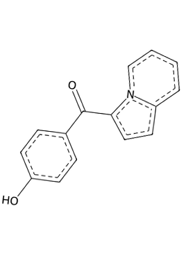 O=C(c1ccc(O)cc1)c1ccc2ccccn12